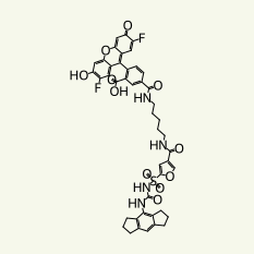 O=C(Nc1c2c(cc3c1CCC3)CCC2)NS(=O)(=O)c1cc(C(=O)NCCCCCNC(=O)c2ccc(-c3c4cc(F)c(=O)cc-4oc4cc(O)c(F)cc34)c(C(=O)O)c2)co1